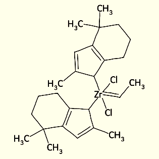 C[CH]=[Zr]([Cl])([Cl])([CH]1C(C)=CC2=C1CCCC2(C)C)[CH]1C(C)=CC2=C1CCCC2(C)C